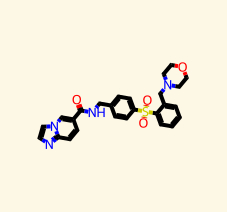 O=C(NCc1ccc(S(=O)(=O)c2ccccc2CN2CCOCC2)cc1)c1ccc2nccn2c1